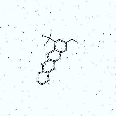 FCc1cc(C(F)(F)F)c2nc3nc4ccccc4nc3nc2c1